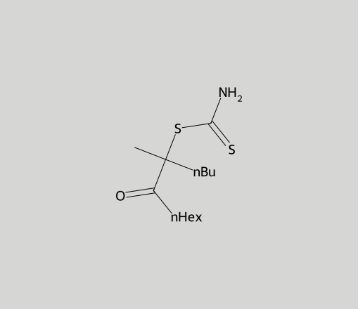 CCCCCCC(=O)C(C)(CCCC)SC(N)=S